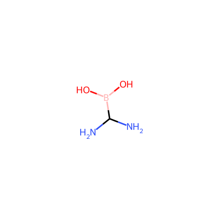 NC(N)B(O)O